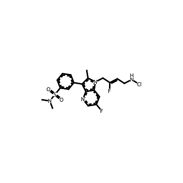 Cc1c(-c2cccc(S(=O)(=O)N(C)C)c2)c2ncc(F)cc2n1C/C(F)=C/CNCl